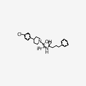 CC(C)[C@@H](NC(=O)CCCc1ccccc1)[C@@H](O)N1CCC(c2ccc(Cl)cc2)CC1